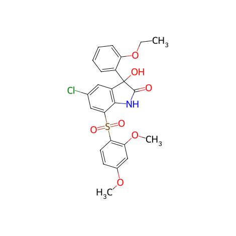 CCOc1ccccc1C1(O)C(=O)Nc2c1cc(Cl)cc2S(=O)(=O)c1ccc(OC)cc1OC